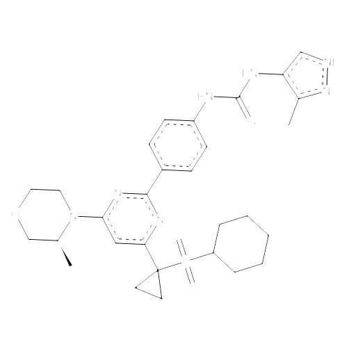 Cc1n[nH]cc1NC(=O)Nc1ccc(-c2nc(N3CCOC[C@@H]3C)cc(C3(S(=O)(=O)C4CCCCC4)CC3)n2)cc1